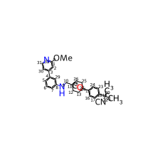 COc1cc(-c2cccc(NCC34CCC(c5ccc(C(C)(C)C#N)cc5)(CC3)OC4)c2)ccn1